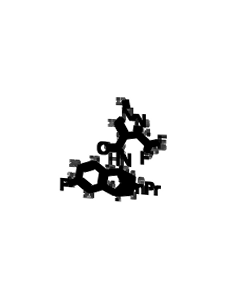 CCCC1C2CC[C@]1(NC(=O)c1cn(C)nc1C(F)F)c1ccc(F)cc12